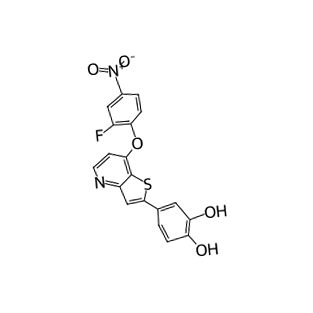 O=[N+]([O-])c1ccc(Oc2ccnc3cc(-c4ccc(O)c(O)c4)sc23)c(F)c1